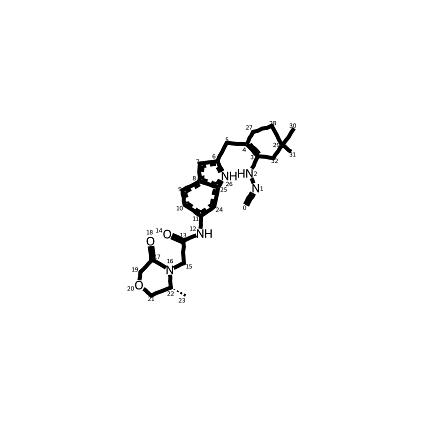 C=NNC1=C(Cc2cc3ccc(NC(=O)CN4C(=O)COC[C@H]4C)cc3[nH]2)CCC(C)(C)C1